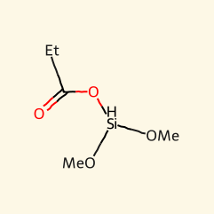 CCC(=O)O[SiH](OC)OC